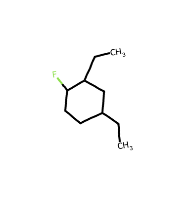 CCC1CCC(F)C(CC)C1